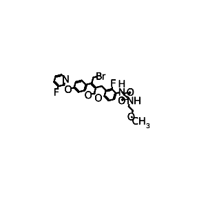 COCCNS(=O)(=O)Nc1cccc(Cc2c(CBr)c3ccc(Oc4ncccc4F)cc3oc2=O)c1F